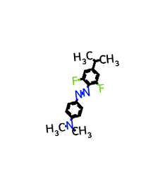 CC(C)c1cc(F)c(/N=N/c2ccc(N(C)C)cc2)c(F)c1